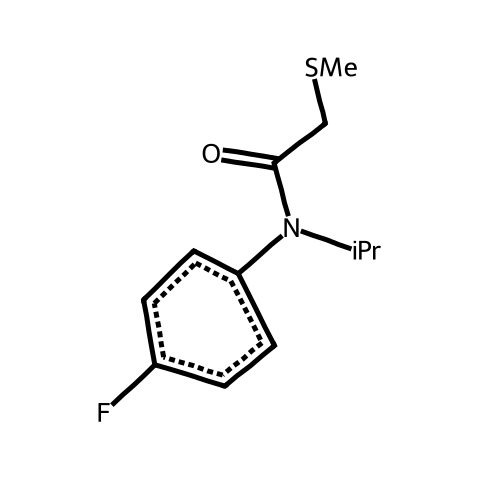 CSCC(=O)N(c1ccc(F)cc1)C(C)C